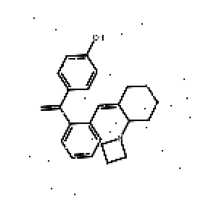 C=C(c1ccc(O)cc1)c1ccccc1C=C1CCCCC1N1CCC1